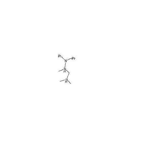 CC(C)N(C(C)C)[SiH](C)C[SiH](C)C